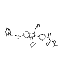 CC(C)OC(=O)Nc1ccc(-c2c(C#N)c3ccc(SCCn4ccnc4)cc3n2C2CCC2)cc1